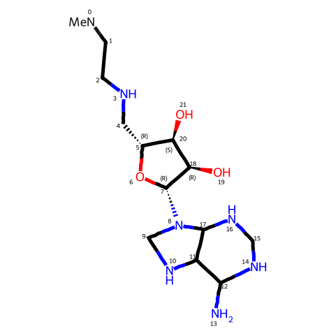 CNCCNC[C@H]1O[C@@H](N2CNC3C(N)NCNC32)[C@H](O)[C@@H]1O